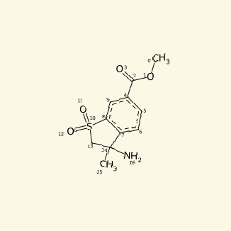 COC(=O)c1ccc2c(c1)S(=O)(=O)CC2(C)N